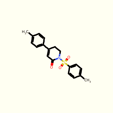 Cc1ccc(C2=CC(=O)N(S(=O)(=O)c3ccc(C)cc3)CC2)cc1